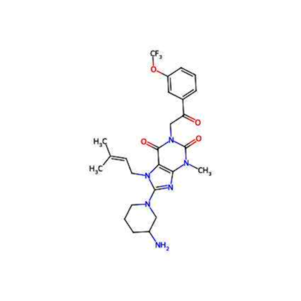 CC(C)=CCn1c(N2CCCC(N)C2)nc2c1c(=O)n(CC(=O)c1cccc(OC(F)(F)F)c1)c(=O)n2C